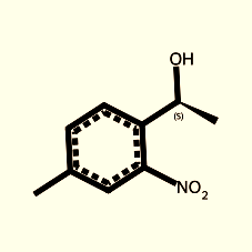 Cc1ccc([C@H](C)O)c([N+](=O)[O-])c1